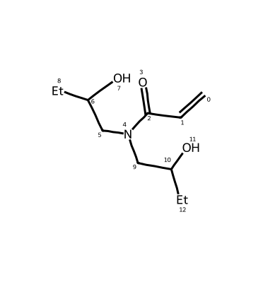 C=CC(=O)N(CC(O)CC)CC(O)CC